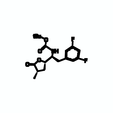 C[C@H]1C[C@@H]([C@H](Cc2cc(F)cc(F)c2)NC(=O)OC(C)(C)C)OC1=O